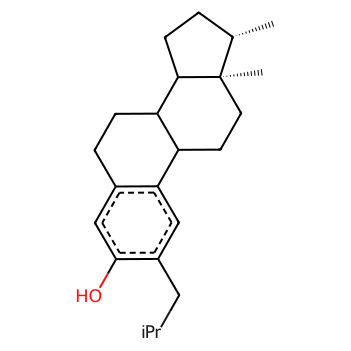 CC(C)Cc1cc2c(cc1O)CCC1C2CC[C@@]2(C)C1CC[C@@H]2C